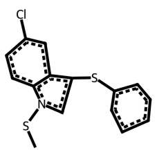 CSn1cc(Sc2ccccc2)c2cc(Cl)ccc21